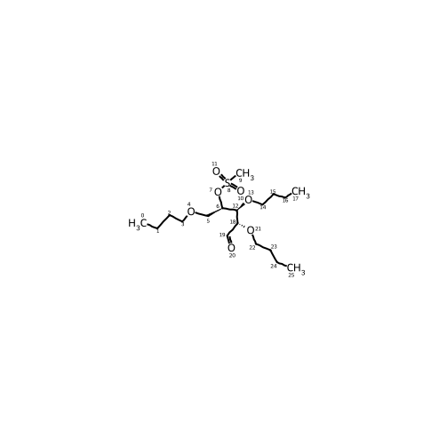 CCCCOC[C@@H](OS(C)(=O)=O)[C@@H](OCCCC)[C@@H](C=O)OCCCC